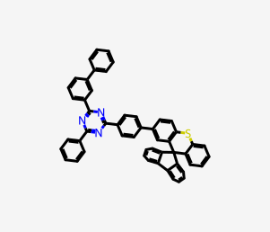 c1ccc(-c2cccc(-c3nc(-c4ccccc4)nc(-c4ccc(-c5ccc6c(c5)C5(c7ccccc7S6)c6ccccc6-c6ccccc65)cc4)n3)c2)cc1